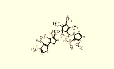 CC1=C(C)C(C)(C)[C]([Zr+2])=C1C.CC1=CCC(C2=C(C)C(C)=CC2)=C1C.[Cl-].[Cl-].[Cl][Zr]([Cl])[C]1=CC=CC1